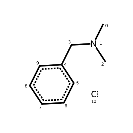 CN(C)Cc1ccccc1.[C]